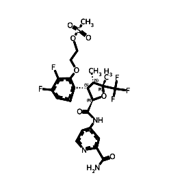 C[C@H]1[C@@H](c2ccc(F)c(F)c2OCCOS(C)(=O)=O)[C@H](C(=O)Nc2ccnc(C(N)=O)c2)O[C@@]1(C)C(F)(F)F